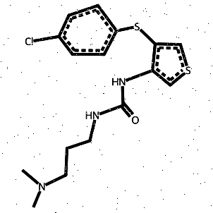 CN(C)CCCNC(=O)Nc1cscc1Sc1ccc(Cl)cc1